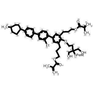 C=C(C)C(=O)OCCCc1cc(-c2ccc(-c3ccc(C4CCC(C)CC4)cc3)cc2CC)cc(CCCOC(=O)C(=C)C)c1OCCC(CO)(CO)CCCCC